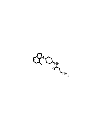 Cc1cccc2ccn(C3CCC(NC(=O)CCN)CC3)c12